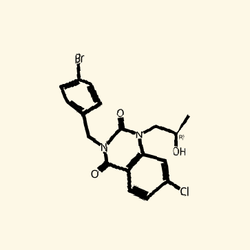 C[C@@H](O)Cn1c(=O)n(Cc2ccc(Br)cc2)c(=O)c2ccc(Cl)cc21